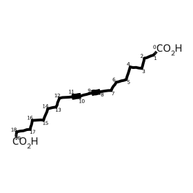 O=C(O)CCCCCCCC#CC#CCCCCCCCC(=O)O